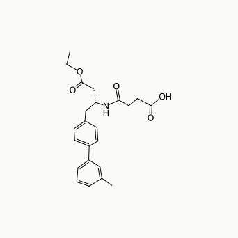 CCOC(=O)C[C@@H](Cc1ccc(-c2cccc(C)c2)cc1)NC(=O)CCC(=O)O